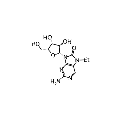 CCn1c(=O)n([C@@H]2O[C@H](CO)[C@H](O)[C@H]2O)c2nc(N)ncc21